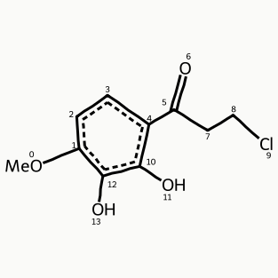 COc1ccc(C(=O)CCCl)c(O)c1O